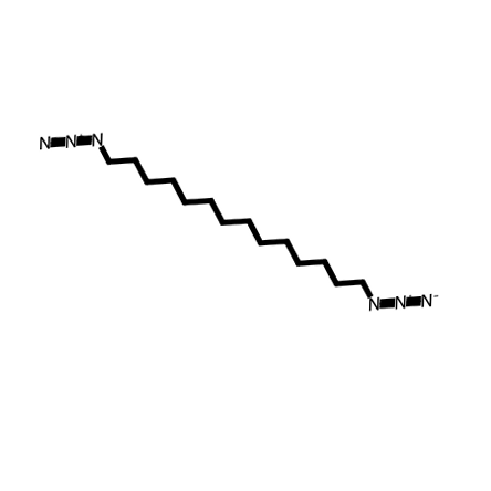 [N-]=[N+]=NCCCCCCCCCCCCCCN=[N+]=[N-]